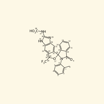 Cc1ccccc1N1C(=O)c2ccccc2C1(OC(=O)C(F)(F)F)c1ccc2[nH]c(NC(=O)O)nc2c1